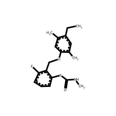 CCc1cc(C)c(OCc2c(F)cccc2SC(=O)NC)cc1C